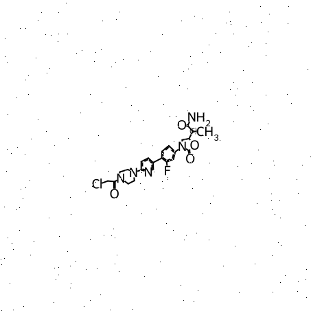 C[C@H](C(N)=O)C1CN(c2ccc(-c3ccc(N4CCN(C(=O)CCl)CC4)nc3)c(F)c2)C(=O)O1